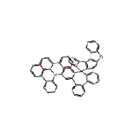 c1ccc(-c2ccccc2N(c2ccc3c(c2)-c2ccccc2-c2ccccc2C32c3ccccc3-c3c2ccc2oc4ccccc4c32)c2ccccc2-c2ccccc2)cc1